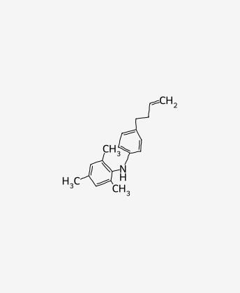 C=CCCc1ccc(Nc2c(C)cc(C)cc2C)cc1